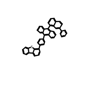 c1ccc(-c2ccc3cccc(-c4c5ccccc5c(-c5ccc(-c6cccc7c6sc6ccccc67)cc5)c5ccccc45)c3c2)cc1